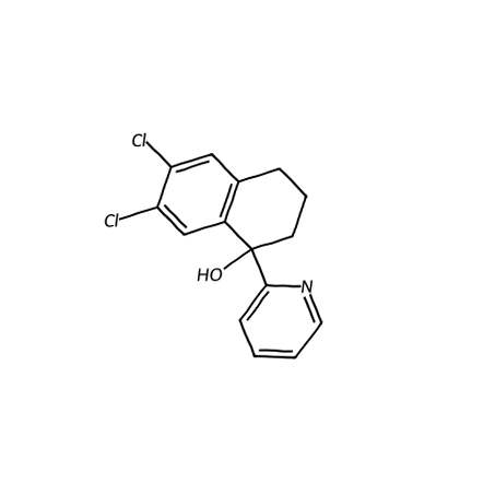 OC1(c2ccccn2)CCCc2cc(Cl)c(Cl)cc21